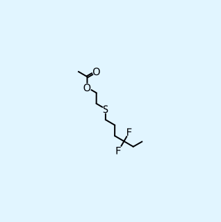 CCC(F)(F)CCCSCCOC(C)=O